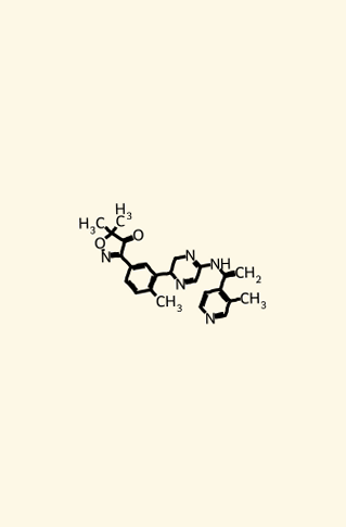 C=C(NC1=NCC(c2cc(C3=NOC(C)(C)C3=O)ccc2C)N=C1)c1ccncc1C